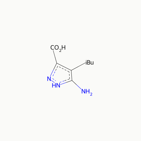 CCC(C)c1c(C(=O)O)n[nH]c1N